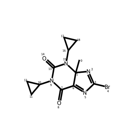 CC12N=C(Br)N=C1C(=O)N(C1CC1)C(=O)N2C1CC1